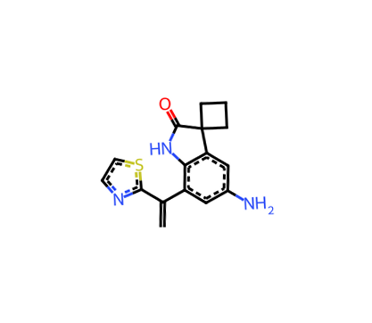 C=C(c1nccs1)c1cc(N)cc2c1NC(=O)C21CCC1